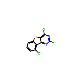 Clc1nc(Cl)c2sc3cccc(Cl)c3c2n1